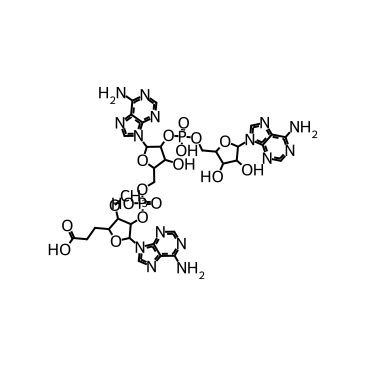 COC1C(CCC(=O)O)OC(n2cnc3c(N)ncnc32)C1OP(=O)(O)OCC1OC(n2cnc3c(N)ncnc32)C(OP(=O)(O)OCC2OC(n3cnc4c(N)ncnc43)C(O)C2O)C1O